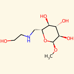 CO[C@H]1O[C@H](CNCCO)[C@@H](O)[C@H](O)[C@H]1O